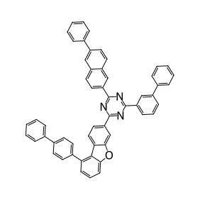 c1ccc(-c2ccc(-c3cccc4oc5cc(-c6nc(-c7cccc(-c8ccccc8)c7)nc(-c7ccc8cc(-c9ccccc9)ccc8c7)n6)ccc5c34)cc2)cc1